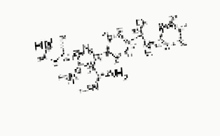 C=Nc1c(/C(N)=N\C)c(-c2ccc(C(=O)Nc3ccccn3)cc2)nn1[C@@H]1CCNC1